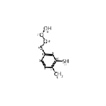 Cc1ccc(SOOO)cc1S